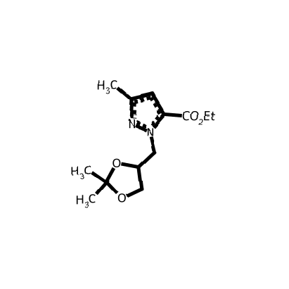 CCOC(=O)c1cc(C)nn1CC1COC(C)(C)O1